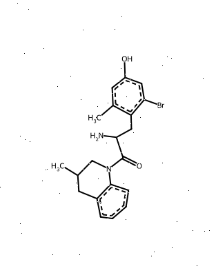 Cc1cc(O)cc(Br)c1CC(N)C(=O)N1CC(C)Cc2ccccc21